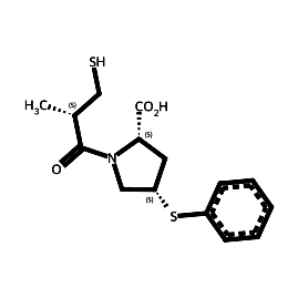 C[C@H](CS)C(=O)N1C[C@@H](Sc2ccccc2)C[C@H]1C(=O)O